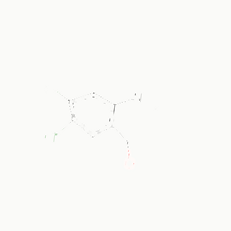 [O]Cc1cc(Cl)c(Cl)cc1[N+](=O)[O-]